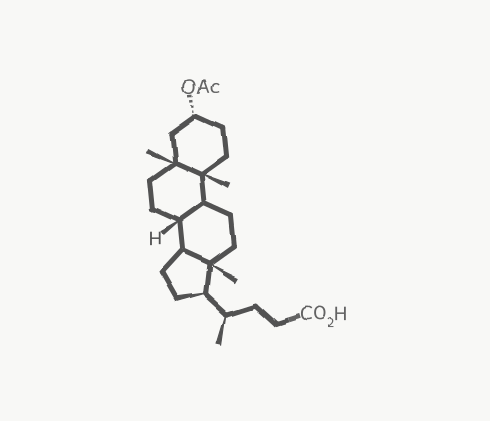 CC(=O)O[C@@H]1CC[C@]2(C)C3CC[C@@]4(C)C(CC[C@@H]4[C@H](C)CCC(=O)O)[C@@H]3CC[C@]2(C)C1